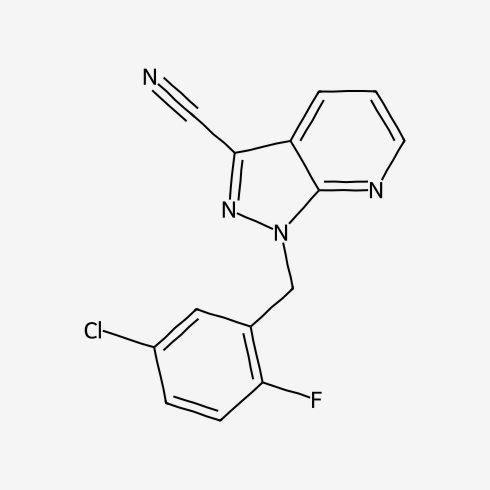 N#Cc1nn(Cc2cc(Cl)ccc2F)c2ncccc12